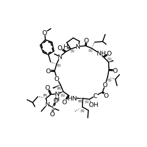 CC[C@H](C)[C@H]1NC(=O)[C@@H](NC(=O)[C@@H](CC(C)C)N(C)S(C)(=O)=O)[C@@H](C)OC(=O)[C@H](Cc2ccc(OC)cc2)N(C)C(=O)[C@@H]2CCCN2C(=O)[C@H](CC(C)C)NC(=O)[C@@H](C)C(=O)[C@H](C(C)C)OC(=O)C[C@@H]1O